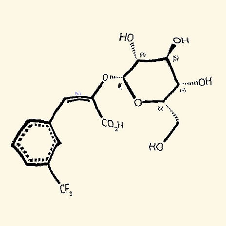 O=C(O)/C(=C\c1cccc(C(F)(F)F)c1)O[C@H]1O[C@@H](CO)[C@@H](O)[C@H](O)[C@H]1O